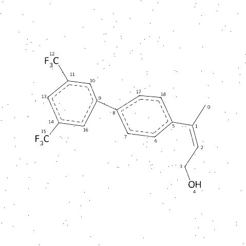 C/C(=C/CO)c1ccc(-c2cc(C(F)(F)F)cc(C(F)(F)F)c2)cc1